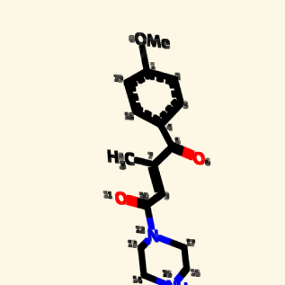 COc1ccc(C(=O)/C(C)=C/C(=O)N2CCNCC2)cc1